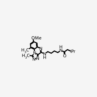 COc1cc(C)c2c(c1)nc(NCCCCNC(=O)CC(C)C)c1nnc(C)n12